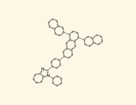 c1ccc(-n2c(-c3ccc(-c4ccc5cc6c(-c7ccc8ccccc8c7)ccc(-c7ccc8ccccc8c7)c6cc5c4)cc3)nc3ccccc32)cc1